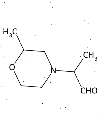 CC1CN(C(C)C=O)CCO1